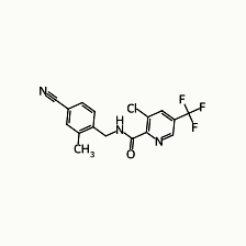 Cc1cc(C#N)ccc1CNC(=O)c1ncc(C(F)(F)F)cc1Cl